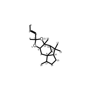 C/C=C/C1(C)OC2CC34CC(C(C)(C)C3CCC4C)C2(C)O1